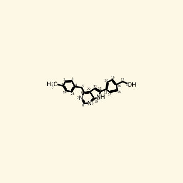 Cc1ccc(Cc2ncnc3[nH]c(-c4ccc(CO)cc4)cc23)cc1